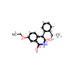 N#CCOc1ccc2c(-c3ccccc3[C@@H](O)C(F)(F)F)c[nH]c(=O)c2c1